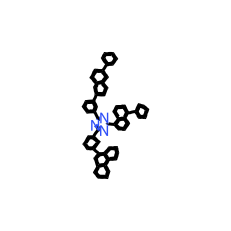 c1ccc(-c2ccc3cc(-c4cccc(-c5nc(-c6cccc(-c7cc8ccccc8c8ccccc78)c6)nc(-c6cccc7c(-c8ccccc8)cccc67)n5)c4)ccc3c2)cc1